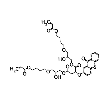 C=CC(=O)OCCCCOCC(O)COC(=O)CC(Oc1ccc2sc3ccccc3c(=O)c2c1)C(=O)OCC(O)COCCCCOC(=O)C=C